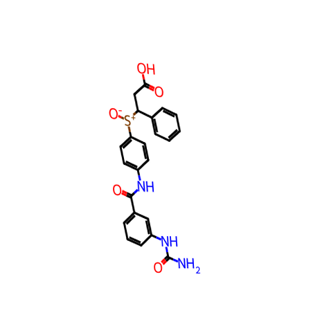 NC(=O)Nc1cccc(C(=O)Nc2ccc([S+]([O-])C(CC(=O)O)c3ccccc3)cc2)c1